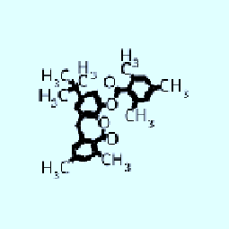 Cc1cc(C)c(C(=O)Oc2cc(C(C)(C)C)cc3c2OC(=O)c2c(C)cc(C)cc2C3)c(C)c1